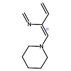 C=C/C(=C/N1CCCCC1)N=C